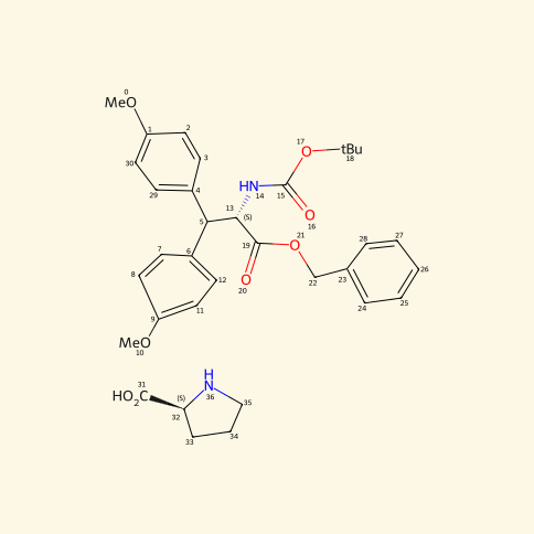 COc1ccc(C(c2ccc(OC)cc2)[C@H](NC(=O)OC(C)(C)C)C(=O)OCc2ccccc2)cc1.O=C(O)[C@@H]1CCCN1